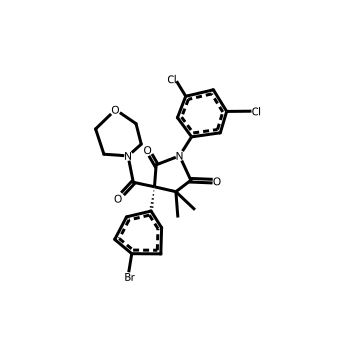 CC1(C)C(=O)N(c2cc(Cl)cc(Cl)c2)C(=O)[C@@]1(C(=O)N1CCOCC1)c1ccc(Br)cc1